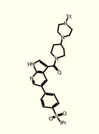 CCN1CCN(C2CCN(C(=O)c3c[nH]c4ncc(-c5ccc(S(=O)(=O)C(C)C)cc5)cc34)CC2)CC1